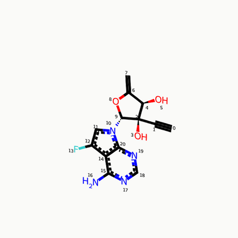 C#C[C@@]1(O)[C@H](O)C(=C)O[C@H]1n1cc(F)c2c(N)ncnc21